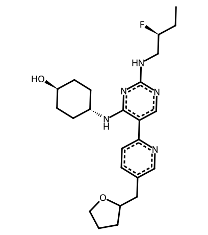 CC[C@H](F)CNc1ncc(-c2ccc(CC3CCCO3)cn2)c(N[C@H]2CC[C@H](O)CC2)n1